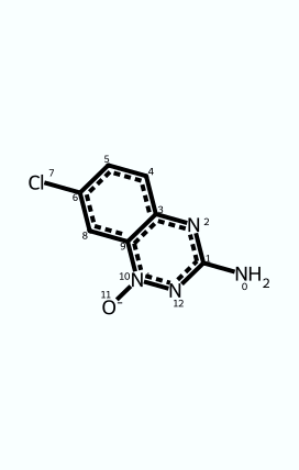 Nc1nc2ccc(Cl)cc2[n+]([O-])n1